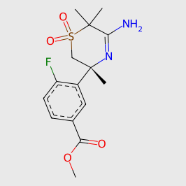 COC(=O)c1ccc(F)c([C@]2(C)CS(=O)(=O)C(C)(C)C(N)=N2)c1